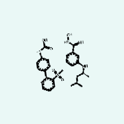 CC(C)C[C@H](C)Nc1cccc(C(=N)NO)c1.CS(=O)(=O)c1ccccc1-c1ccc(NC(=O)O)cc1